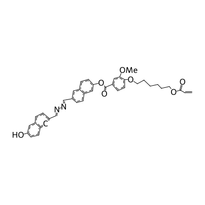 C=CC(=O)OCCCCCCOc1ccc(C(=O)Oc2ccc3cc(/C=N/N=C/c4ccc5cc(O)ccc5c4)ccc3c2)cc1OC